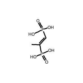 C/C(=C\P(=O)(O)O)P(=O)(O)O